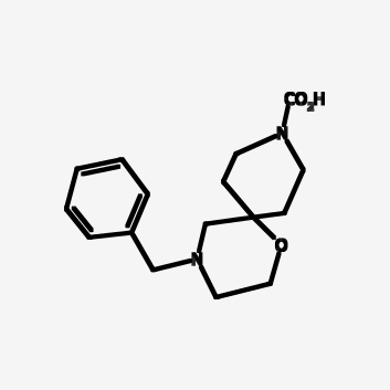 O=C(O)N1CCC2(CC1)CN(Cc1ccccc1)CCO2